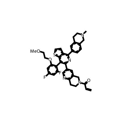 C=CC(=O)N1CCc2ncc(-c3nc(-c4ccc5c(c4)CCN(C)C5)c4ccsc4c3-c3c(F)cc(F)cc3OCCOC)cc2C1